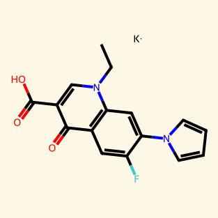 CCn1cc(C(=O)O)c(=O)c2cc(F)c(-n3cccc3)cc21.[K]